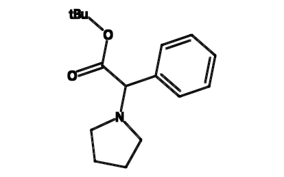 CC(C)(C)OC(=O)C(c1ccccc1)N1CCCC1